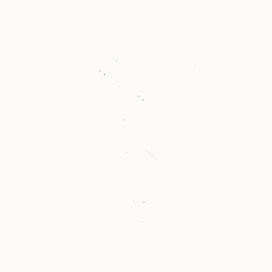 CN1C=C(NC(=O)[C@H](CC2CC(F)C(F)C2)c2ccc(S(C)(=O)=O)cc2)SN1